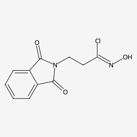 O=C1c2ccccc2C(=O)N1CCC(Cl)=NO